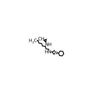 C=C(C)CCCC(CCNC1CN(C2CCCCC2)C1)NC1CC1